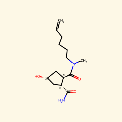 C=CCCCCN(C)C(=O)[C@@H]1C[C@@H](O)C[C@H]1C(N)=O